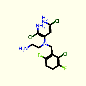 NCCN(CC1=C(F)CCC(F)=C1Cl)C(/C=C(\N)Cl)=C(/N)Cl